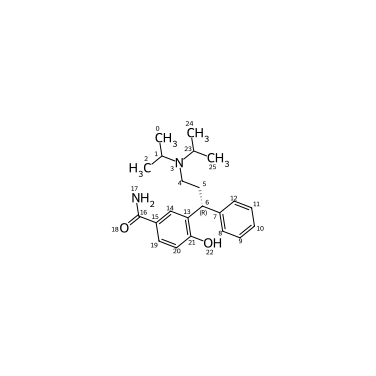 CC(C)N(CC[C@H](c1ccccc1)c1cc(C(N)=O)ccc1O)C(C)C